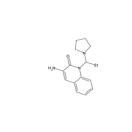 CCC(N1CCCC1)n1c(=O)c(N)cc2ccccc21